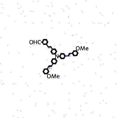 COc1cccc(/C=C/c2ccc(N(c3ccc(/C=C/c4cccc(C=O)c4)cc3)c3ccc(/C=C/c4cccc(OC)c4)cc3)cc2)c1